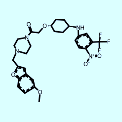 COc1ccc2oc(CN3CCN(C(=O)CO[C@H]4CC[C@H](Nc5ccc([N+](=O)[O-])c(C(F)(F)F)c5)CC4)CC3)cc2c1